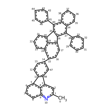 Cc1cc2c3c(cccc3n1)-c1ccc(-c3ccc4c5c(cccc35)-c3c-4c(-c4ccccc4)c4ccccc4c3-c3ccccc3)cc1-2